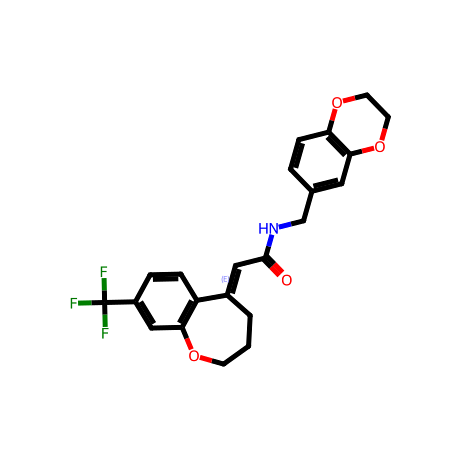 O=C(/C=C1\CCCOc2cc(C(F)(F)F)ccc21)NCc1ccc2c(c1)OCCO2